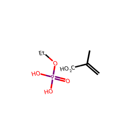 C=C(C)C(=O)O.CCOP(=O)(O)O